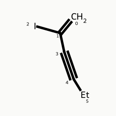 C=C(I)C#CCC